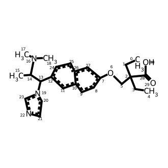 CCC(CC)(COc1ccc2cc(C(C(C)N(C)C)n3ccnc3)ccc2c1)C(=O)O